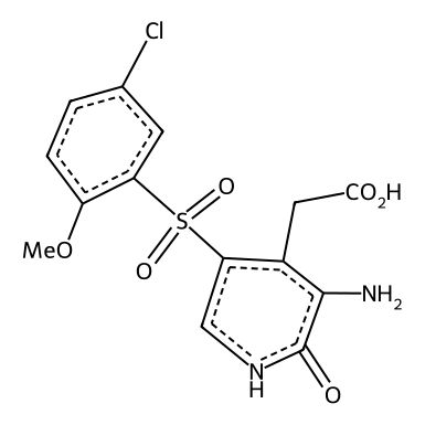 COc1ccc(Cl)cc1S(=O)(=O)c1c[nH]c(=O)c(N)c1CC(=O)O